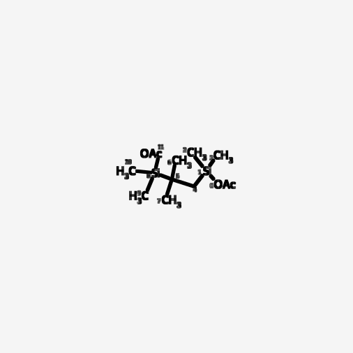 CC(=O)O[Si](C)(C)CC(C)(C)[Si](C)(C)OC(C)=O